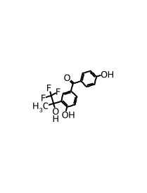 CC(O)(c1cc(C(=O)c2ccc(O)cc2)ccc1O)C(F)(F)F